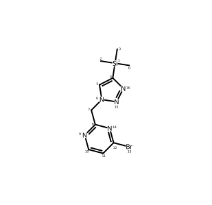 C[Si](C)(C)c1cn(Cc2nccc(Br)n2)nn1